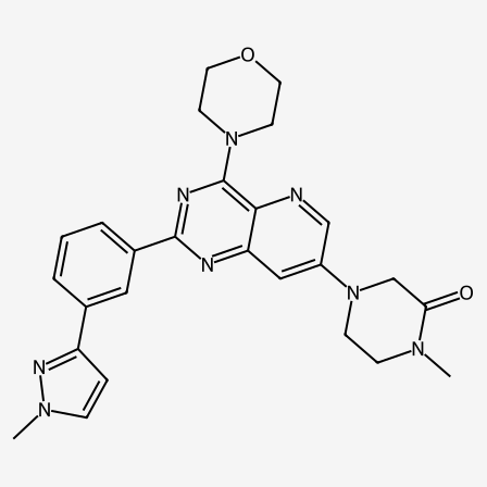 CN1CCN(c2cnc3c(N4CCOCC4)nc(-c4cccc(-c5ccn(C)n5)c4)nc3c2)CC1=O